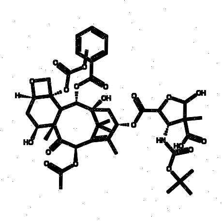 COC(=O)O[C@@]12CO[C@@H]1C[C@H](O)[C@@]1(C)C(=O)[C@H](OC(C)=O)C3=C(C)[C@@H](OC(=O)C4OC(O)C(C)(C(=O)O)[C@@H]4NC(=O)OC(C)(C)C)C[C@@](O)([C@@H](OC(=O)c4ccccc4)C12)C3(C)C